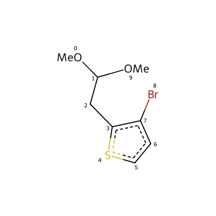 COC(Cc1sccc1Br)OC